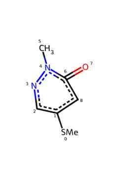 CSc1cnn(C)c(=O)c1